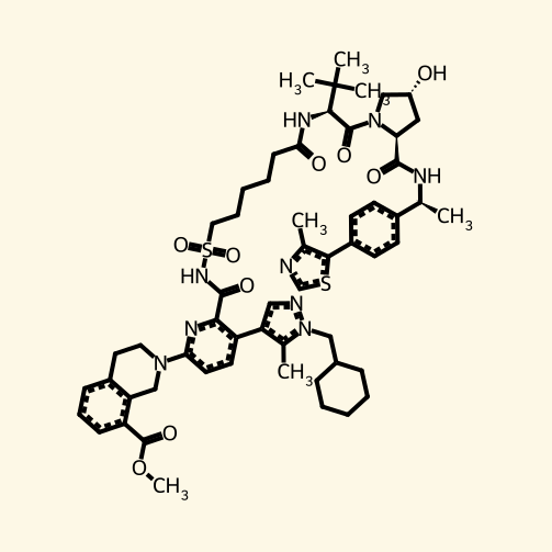 COC(=O)c1cccc2c1CN(c1ccc(-c3cnn(CC4CCCCC4)c3C)c(C(=O)NS(=O)(=O)CCCCCC(=O)N[C@H](C(=O)N3C[C@H](O)C[C@H]3C(=O)N[C@@H](C)c3ccc(-c4scnc4C)cc3)C(C)(C)C)n1)CC2